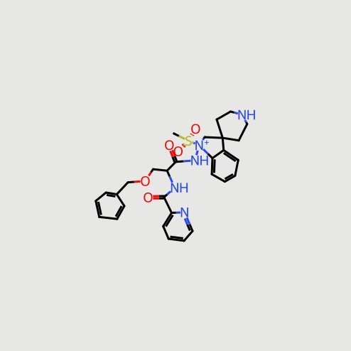 CS(=O)(=O)[N+]1(NC(=O)C(COCc2ccccc2)NC(=O)c2ccccn2)CC2(CCNCC2)c2ccccc21